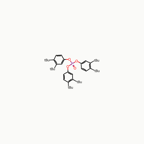 CC(C)(C)c1ccc(OP(=O)(Oc2ccc(C(C)(C)C)c(C(C)(C)C)c2)Oc2ccc(C(C)(C)C)c(C(C)(C)C)c2)cc1C(C)(C)C